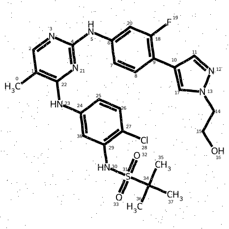 Cc1cnc(Nc2ccc(-c3cnn(CCO)c3)c(F)c2)nc1Nc1ccc(Cl)c(NS(=O)(=O)C(C)(C)C)c1